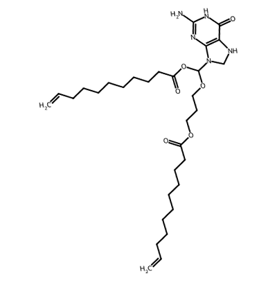 C=CCCCCCCCCC(=O)OCCCOC(OC(=O)CCCCCCCCC=C)N1CNc2c1nc(N)[nH]c2=O